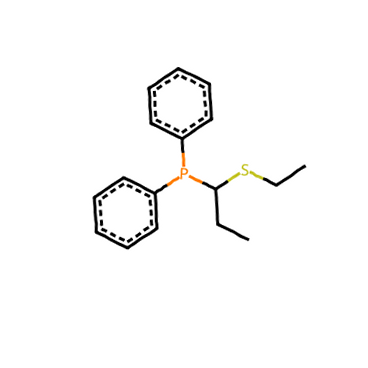 CCSC(CC)P(c1ccccc1)c1ccccc1